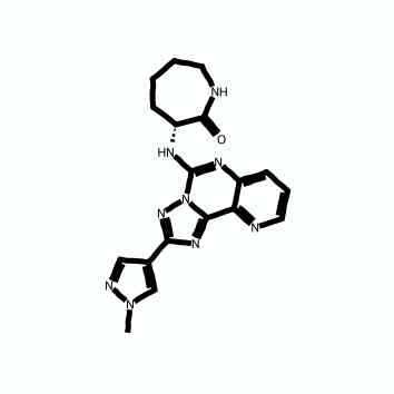 Cn1cc(-c2nc3c4ncccc4nc(N[C@@H]4CCCCNC4=O)n3n2)cn1